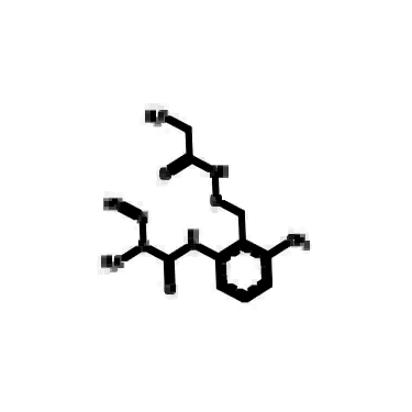 CCC(=O)NOCc1c(C)cccc1NC(=O)N(C)N=N